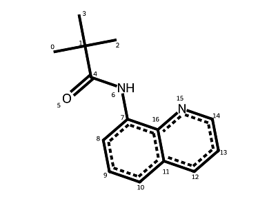 CC(C)(C)C(=O)Nc1cccc2cccnc12